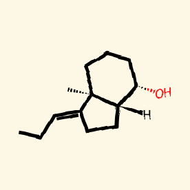 CCC=C1CC[C@H]2[C@@H](O)CCC[C@]12C